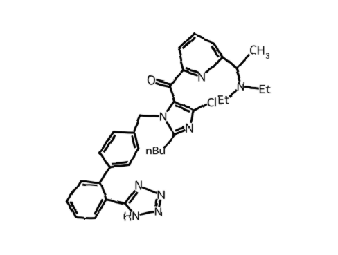 CCCCc1nc(Cl)c(C(=O)c2cccc(C(C)N(CC)CC)n2)n1Cc1ccc(-c2ccccc2-c2nnn[nH]2)cc1